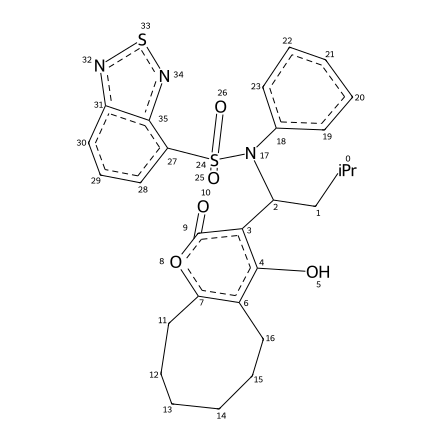 CC(C)CC(c1c(O)c2c(oc1=O)CCCCCC2)N(c1ccccc1)S(=O)(=O)c1cccc2nsnc12